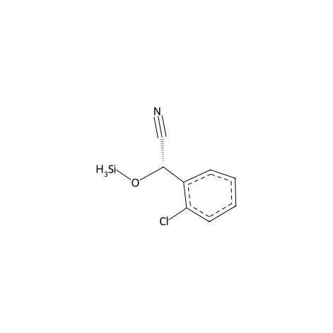 N#C[C@@H](O[SiH3])c1ccccc1Cl